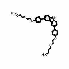 CCCCOCCOc1ccc(-c2ccc3[nH]c4ccc(-c5ccc(OCCOCCOC)cc5)cc4c3c2)cc1